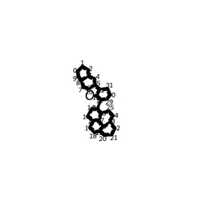 c1ccc2cc3c(cc2c1)oc1c(-c2ccc4ccc5cccc6ccc2c4c56)cccc13